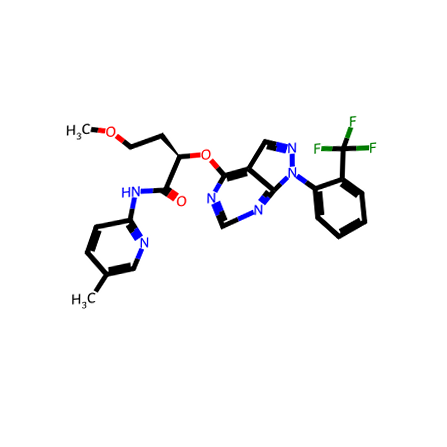 COCC[C@@H](Oc1ncnc2c1cnn2-c1ccccc1C(F)(F)F)C(=O)Nc1ccc(C)cn1